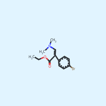 CCOC(=O)C(=CN(C)C)c1ccc(Br)cc1